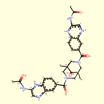 CC(=O)Nc1cnc2cc(C(=O)N3CC4(C)CN(C(=O)c5ccc6nc(NC(C)=O)cnc6c5)CC(C)(C3)C4=O)ccc2n1